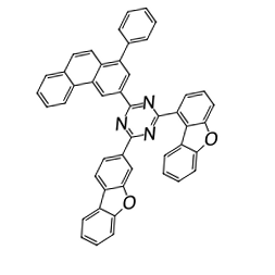 c1ccc(-c2cc(-c3nc(-c4ccc5c(c4)oc4ccccc45)nc(-c4cccc5oc6ccccc6c45)n3)cc3c2ccc2ccccc23)cc1